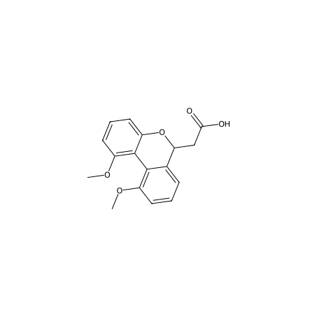 COc1cccc2c1-c1c(OC)cccc1C(CC(=O)O)O2